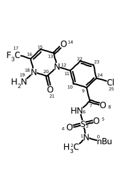 CCCCN(C)S(=O)(=O)NC(=O)c1cc(-n2c(=O)cc(C(F)(F)F)n(N)c2=O)ccc1Cl